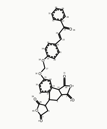 O=C1CC(C2CC3C(=O)OC(=O)C3c3cc(OCOc4ccc(/C=C/C(=O)c5ccccc5)cc4)ccc32)C(=O)O1